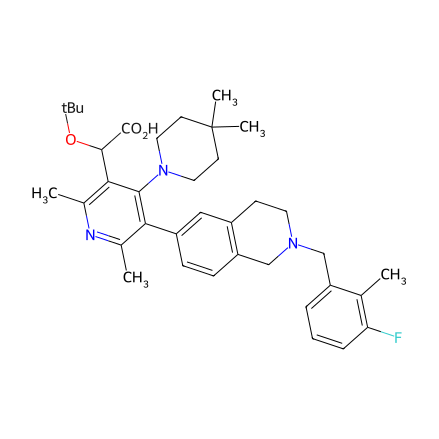 Cc1nc(C)c(C(OC(C)(C)C)C(=O)O)c(N2CCC(C)(C)CC2)c1-c1ccc2c(c1)CCN(Cc1cccc(F)c1C)C2